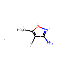 CCc1c(N)noc1C(=O)O